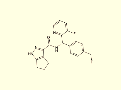 O=C(N[C@@H](c1ccc(CF)cc1)c1ncccc1F)c1n[nH]c2c1CCC2